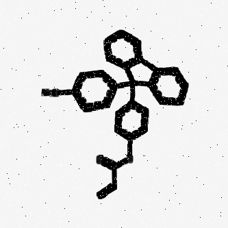 C=CC(=O)Oc1ccc(C2(c3ccc(OC)cc3)c3ccccc3-c3ccccc32)cc1